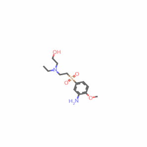 CCN(CCO)CCS(=O)(=O)c1ccc(OC)c(N)c1